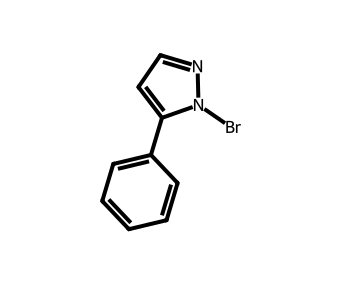 Brn1nccc1-c1ccccc1